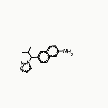 CC(C)C(c1ccc2cc(N)ccc2c1)n1ccnn1